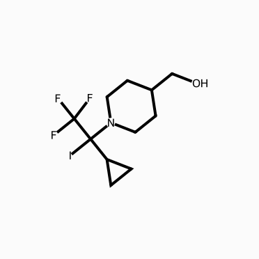 OCC1CCN(C(I)(C2CC2)C(F)(F)F)CC1